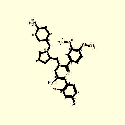 COc1ccc(C(=O)N(CC(C)=Cc2ccc(F)cc2F)CC2CCCN2CC2CCC(N)CC2)cc1OC